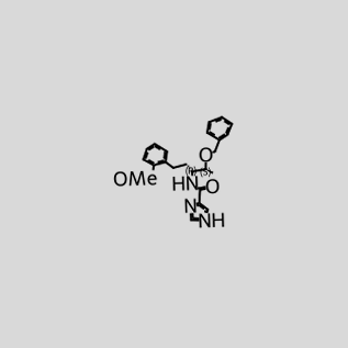 COc1ccccc1CC[C@@H](NC(=O)c1c[nH]cn1)[C@H](C)OCc1ccccc1